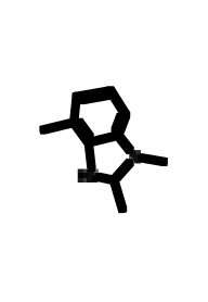 Cc1cccc2c1NC(C)N2C